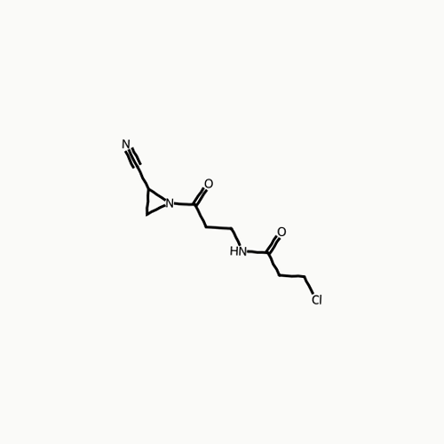 N#CC1CN1C(=O)CCNC(=O)CCCl